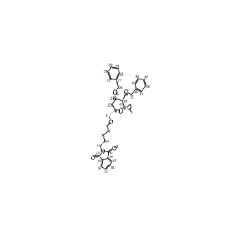 CO[C@@H]1O[C@H](COCCCCCN2C(=O)c3ccccc3C2=O)C[C@H](OCc2ccccc2)[C@H]1OCc1ccccc1